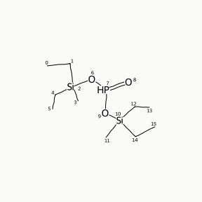 CC[Si](C)(CC)O[PH](=O)O[Si](C)(CC)CC